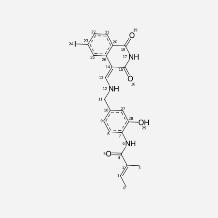 C/C=C(\C)C(=O)Nc1ccc(CN/C=C2\C(=O)NC(=O)c3ccc(I)cc32)cc1O